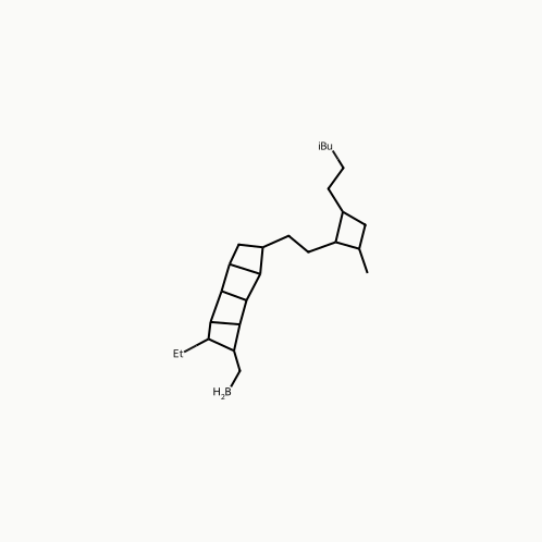 BCC1C(CC)C2C1C1C3C(CCC4C(C)CC4CCC(C)CC)CC3C21